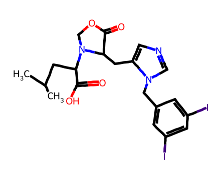 CC(C)CC(C(=O)O)N1COC(=O)C1Cc1cncn1Cc1cc(I)cc(I)c1